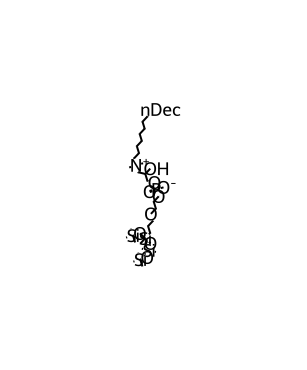 CCCCCCCCCCCCCCCCCC[N+](C)(C)CC(O)COP(=O)([O-])OCCOCCC[Si](C)(O[Si](C)(C)C)O[Si](C)(C)O[Si](C)(C)C